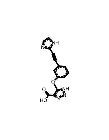 O=C(O)c1nn[nH]c1Oc1cccc(C#Cc2ncc[nH]2)c1